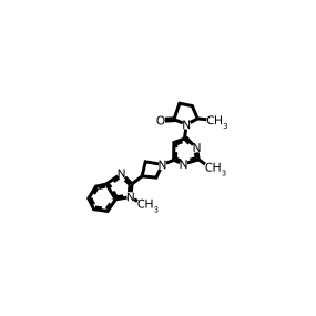 Cc1nc(N2CC(c3nc4ccccc4n3C)C2)cc(N2C(=O)CCC2C)n1